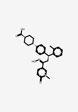 Cc1ccccc1[C@@H](CC(=NO)c1ccc(=O)n(C)c1)c1ccc([C@H]2CC[C@H](C(=O)O)CC2)cc1